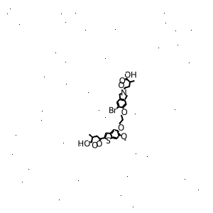 COc1cc2sc(C(=O)CC(C)C(=O)O)cc2cc1OCCCOc1cc2c(cc1Br)CN(C(=O)CC(C)C(=O)O)C2